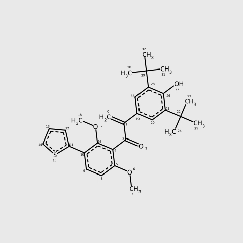 C=C(C(=O)c1c(OC)ccc(-c2cccs2)c1OC)c1cc(C(C)(C)C)c(O)c(C(C)(C)C)c1